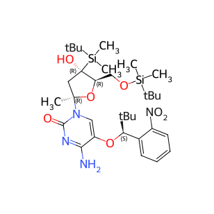 CC(C)(C)[C@H](Oc1cn([C@@]2(C)C[C@@](O)([Si](C)(C)C(C)(C)C)[C@@H](CO[Si](C)(C)C(C)(C)C)O2)c(=O)nc1N)c1ccccc1[N+](=O)[O-]